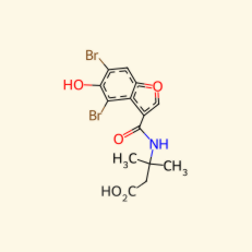 CC(C)(CC(=O)O)NC(=O)c1coc2cc(Br)c(O)c(Br)c12